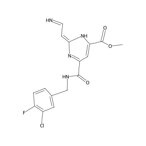 COC(=O)C1=CC(C(=O)NCc2ccc(F)c(Cl)c2)=N/C(=C/C=N)N1